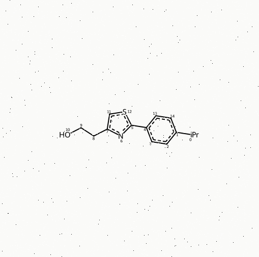 CC(C)c1ccc(-c2nc(CCO)cs2)cc1